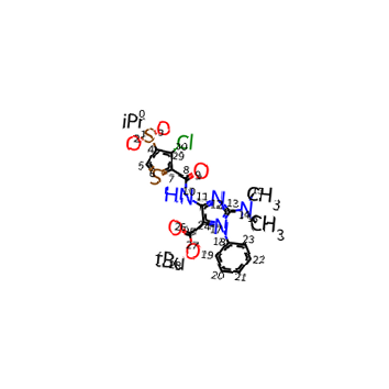 CC(C)S(=O)(=O)c1csc(C(=O)Nc2nc(N(C)C)n(-c3ccccc3)c2C(=O)OC(C)(C)C)c1Cl